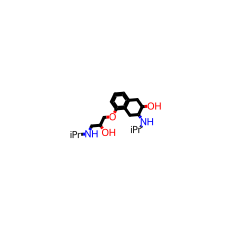 CC(C)NCC(O)COc1cccc2c1CC(NC(C)C)C(O)C2